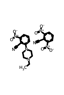 CCN1CCN(c2cccc([N+](=O)[O-])c2C#N)CC1.N#Cc1c([N+](=O)[O-])cccc1[N+](=O)[O-]